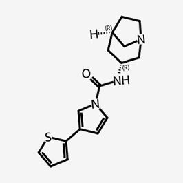 O=C(N[C@@H]1C[C@H]2CCN(C2)C1)n1ccc(-c2cccs2)c1